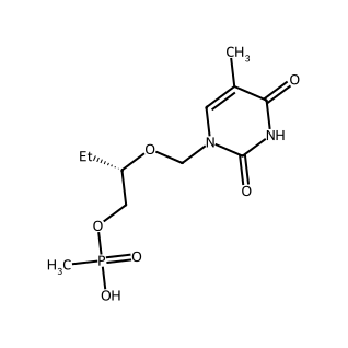 CC[C@@H](COP(C)(=O)O)OCn1cc(C)c(=O)[nH]c1=O